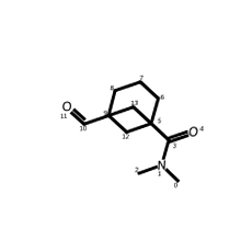 CN(C)C(=O)C12CCCC(C=O)(C1)C2